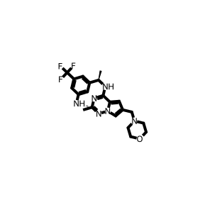 Cc1nc(N[C@H](C)c2cc(N)cc(C(F)(F)F)c2)c2cc(CN3CCOCC3)cn2n1